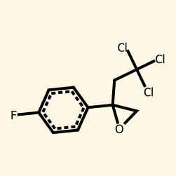 Fc1ccc(C2(CC(Cl)(Cl)Cl)CO2)cc1